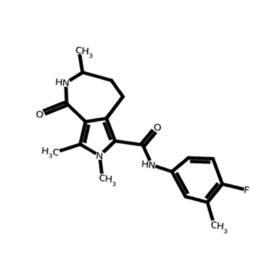 Cc1cc(NC(=O)c2c3c(c(C)n2C)C(=O)NC(C)CC3)ccc1F